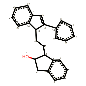 OC1Cc2ccccc2C1CCC1C(c2ccccc2)=Cc2ccccc21